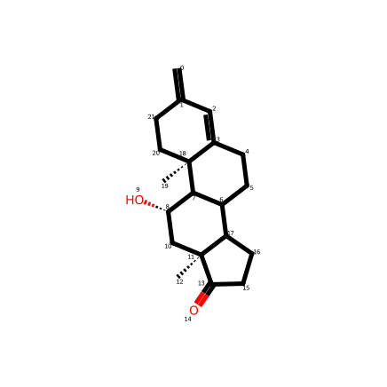 C=C1C=C2CCC3C([C@@H](O)C[C@]4(C)C(=O)CCC34)[C@@]2(C)CC1